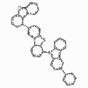 c1ccc(-c2ccc3c(c2)c2ccccc2n3-c2cccc3c2sc2ccc(-c4cccc5oc6ccccc6c45)cc23)cc1